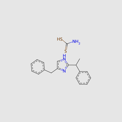 CC(c1ccccc1)c1nc(Cc2ccccc2)c[nH]1.NC(=S)S